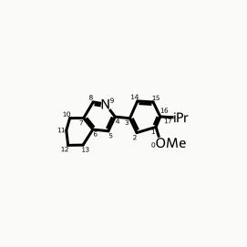 COc1cc(-c2cc3c(cn2)CCCC3)ccc1C(C)C